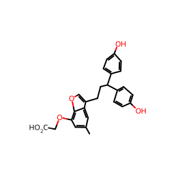 Cc1cc(OCC(=O)O)c2occ(CCC(c3ccc(O)cc3)c3ccc(O)cc3)c2c1